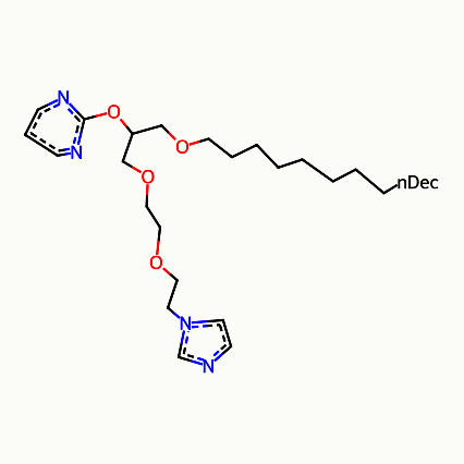 CCCCCCCCCCCCCCCCCCOCC(COCCOCCn1ccnc1)Oc1ncccn1